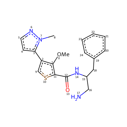 COc1c(-c2ccnn2C)csc1C(=O)NC(CN)Cc1ccccc1